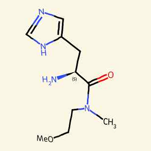 COCCN(C)C(=O)[C@@H](N)Cc1cnc[nH]1